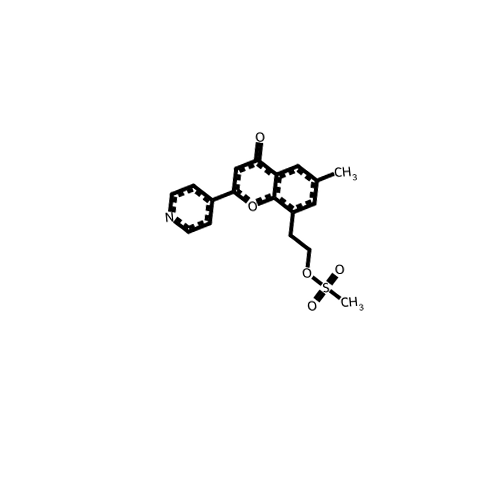 Cc1cc(CCOS(C)(=O)=O)c2oc(-c3ccncc3)cc(=O)c2c1